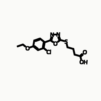 CCOc1ccc(-c2nnc(SCCCC(=O)O)o2)c(Cl)c1